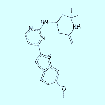 C=C1CC(Nc2nccc(-c3cc4ccc(OC)cc4s3)n2)CC(C)(C)N1